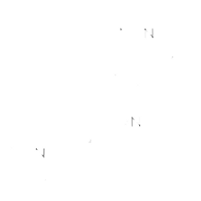 CN(C)CCCN(C)Cc1cccnc1